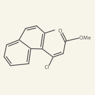 COC(=O)/C=C(/Cl)c1c(C)ccc2ccccc12